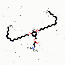 CCCCC/C=C\C/C=C\CCCCCCCCOc1cc(COC(=O)CCN(C)C)cc(OCCCCCCCC/C=C\C/C=C\CCCCC)c1C